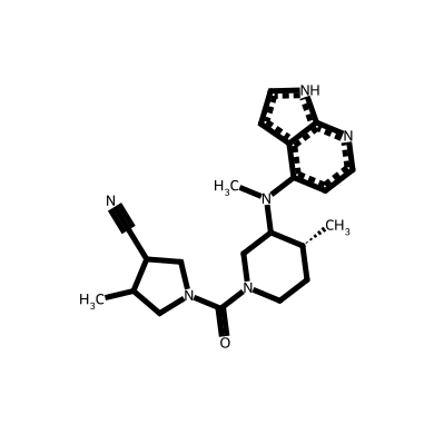 CC1CN(C(=O)N2CC[C@@H](C)C(N(C)c3ccnc4[nH]ccc34)C2)CC1C#N